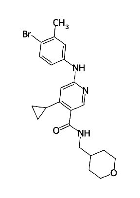 Cc1cc(Nc2cc(C3CC3)c(C(=O)NCC3CCOCC3)cn2)ccc1Br